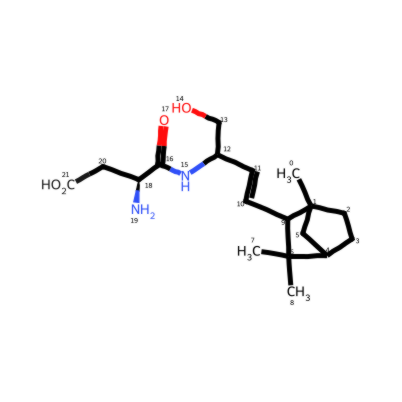 CC12CCC(C1)C(C)(C)C2C=CC(CO)NC(=O)[C@@H](N)CC(=O)O